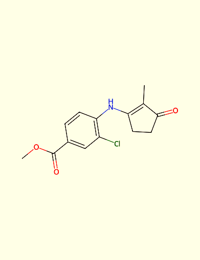 COC(=O)c1ccc(NC2=C(C)C(=O)CC2)c(Cl)c1